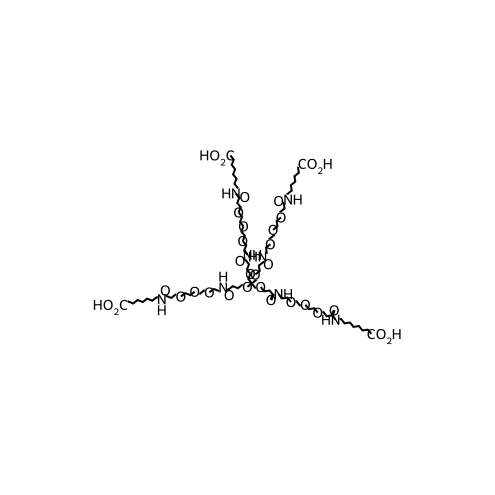 O=C(O)CCCCCCCNC(=O)CCOCCOCCOCCNC(=O)CCCOC(COCCC(=O)NCCOCCOCCOCCC(=O)NCCCCCCCC(=O)O)(COCCC(=O)NCCOCCOCCOCCC(=O)NCCCCCCCC(=O)O)COCCC(=O)NCCOCCOCCOCCC(=O)NCCCCCCCC(=O)O